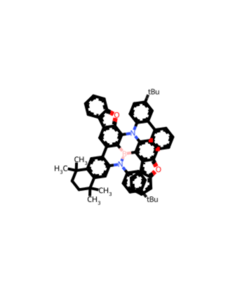 CC(C)(C)c1ccc(N2B3c4c(cc5c(oc6ccccc65)c4N(c4ccc(C(C)(C)C)cc4-c4ccccc4)c4ccc5oc6ccccc6c5c43)-c3cc4c(cc32)C(C)(C)CCC4(C)C)cc1